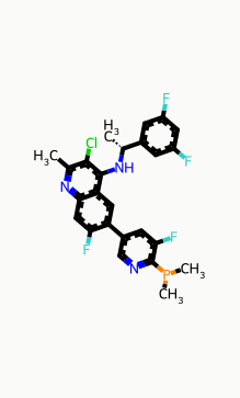 Cc1nc2cc(F)c(-c3cnc(P(C)C)c(F)c3)cc2c(N[C@H](C)c2cc(F)cc(F)c2)c1Cl